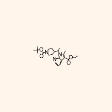 CCOC(=O)c1c(C)n([C@H](C)C2CCN(C(=O)OC(C)(C)C)CC2)c2ncccc12